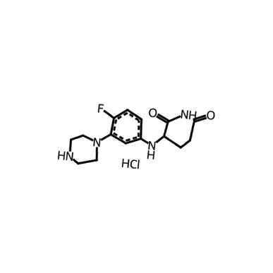 Cl.O=C1CCC(Nc2ccc(F)c(N3CCNCC3)c2)C(=O)N1